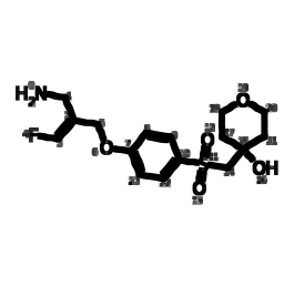 NCC(=CF)COc1ccc(S(=O)(=O)CC2(O)CCOCC2)cc1